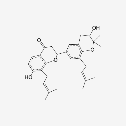 CC(C)=CCc1cc(C2CC(=O)c3ccc(O)c(CC=C(C)C)c3O2)cc2c1OC(C)(C)C(O)C2